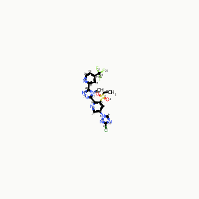 CCS(=O)(=O)c1cc(-n2cnc(Cl)n2)cnc1-c1nnc(-c2cc(C(F)(F)F)ccn2)n1C